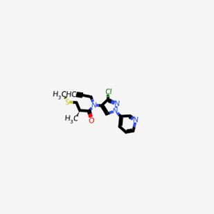 C#CCN(C(=O)[C@H](C)CSC)c1cn(-c2cccnc2)nc1Cl